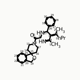 CCC/C(C)=C(\C(C)=N)C(NCC(=O)N1CCC2(CC1)OCc1ccccc12)c1ccccc1